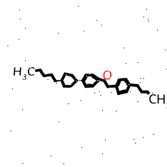 CCCCC[C@H]1CC[C@H](c2ccc(C(=O)Cc3ccc(CCCC)cc3)cc2)CC1